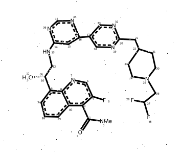 CNC(=O)c1c(F)cnc2c([C@H](C)CNc3cc(-c4cnc(CC5CCN(CC(F)F)CC5)nc4)ncn3)cccc12